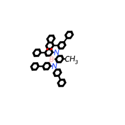 Cc1cc2c3c(c1)N(c1ccc(-c4ccccc4)cc1-c1cccc4ccccc14)c1ccc(-c4ccccc4)cc1B3c1cc(-c3ccccc3)ccc1N2c1ccc(-c2ccccc2)cc1